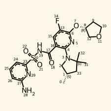 C[C@@H]1CN(c2nc(O[C@@H]3CCOC3)c(F)cc2C(=O)NS(=O)(=O)c2cccc(N)n2)C(C)(C)C1